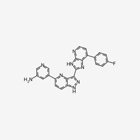 Nc1cncc(-c2ccc3[nH]nc(-c4nc5c(-c6ccc(F)cc6)ccnc5[nH]4)c3n2)c1